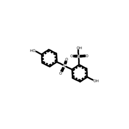 O=S(=O)(O)c1cc(O)ccc1S(=O)(=O)c1ccc(O)cc1